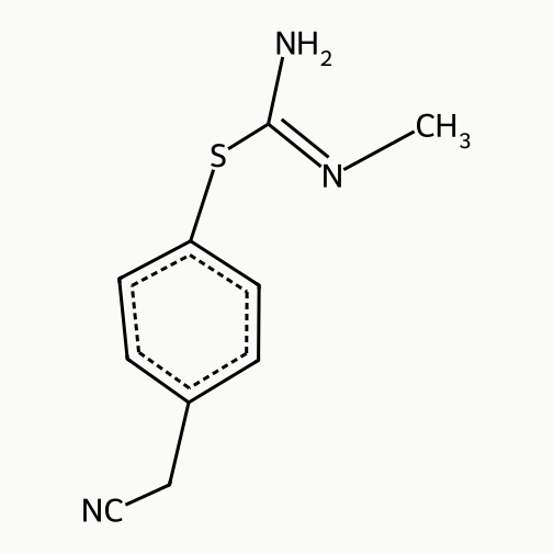 CN=C(N)Sc1ccc(CC#N)cc1